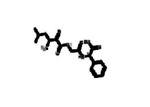 CC(C)CC(N)C(=O)C(=O)NCC(=O)N[C@H](C(=O)O)c1ccccc1